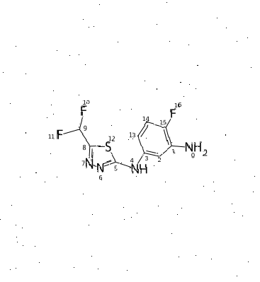 Nc1cc(Nc2nnc(C(F)F)s2)ccc1F